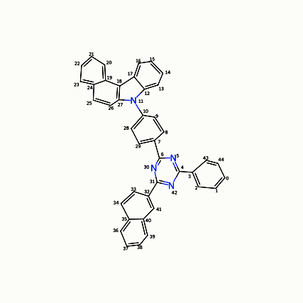 c1ccc(-c2nc(-c3ccc(-n4c5ccccc5c5c6ccccc6ccc54)cc3)nc(-c3ccc4ccccc4c3)n2)cc1